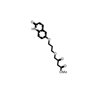 COC(=O)CC(=O)COCCCOc1ccc2[nH]c(=O)ccc2c1